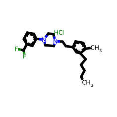 CCCCCc1cc(CCN2CCN(c3cccc(C(F)F)c3)CC2)ccc1C.Cl